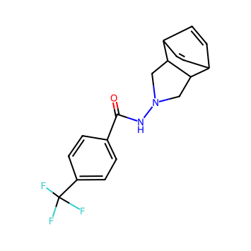 O=C(NN1CC2C3C=CC(C=C3)C2C1)c1ccc(C(F)(F)F)cc1